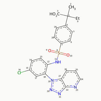 CCC(C)(C(=O)O)c1ccc(S(=O)(=O)Nc2ccc(Cl)cc2-n2nnc3ncccc32)cc1